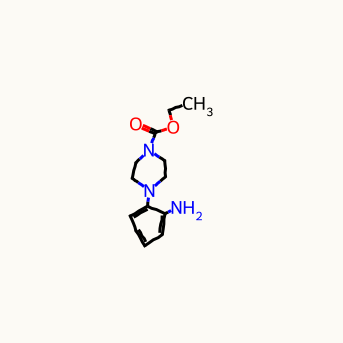 CCOC(=O)N1CCN(c2ccccc2N)CC1